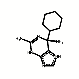 NC1=NC(N)(C2CCCCC2)c2[nH]cnc2N1